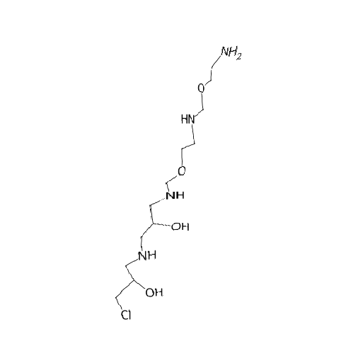 NCCOCNCCOCNCC(O)CNCC(O)CCl